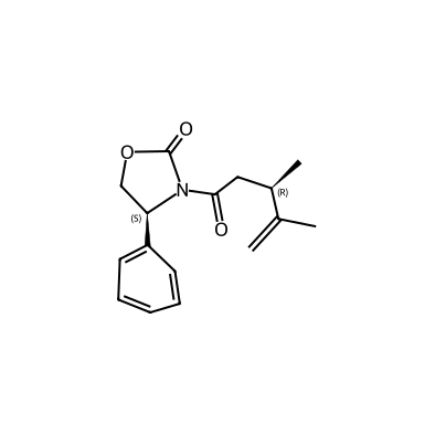 C=C(C)[C@H](C)CC(=O)N1C(=O)OC[C@@H]1c1ccccc1